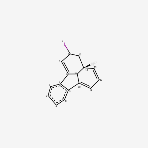 IC1C=C2c3ccccc3C3=CC=C[C@@H](C1)C32